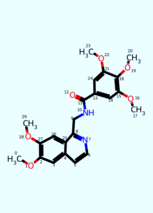 COc1cc2ccnc(CNC(=O)c3cc(OC)c(OC)c(OC)c3)c2cc1OC